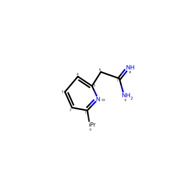 CC(C)c1cccc(CC(=N)N)n1